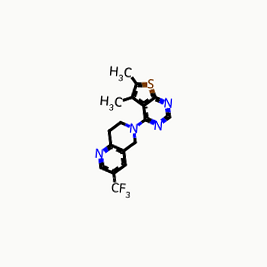 Cc1sc2ncnc(N3CCc4ncc(C(F)(F)F)cc4C3)c2c1C